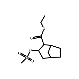 CCOC(=O)C1C2CCC(C2)CC1OS(C)(=O)=O